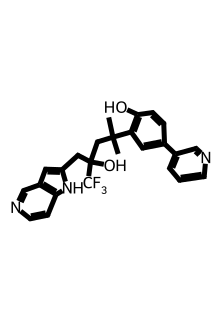 CC(C)(CC(O)(Cc1cc2cnccc2[nH]1)C(F)(F)F)c1cc(-c2cccnc2)ccc1O